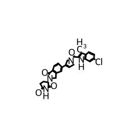 Cc1c(C(=O)N2CC=C(c3ccc4c(c3)CN(C3CCC(=O)NC3=O)C4=O)C2)[nH]c2cc(Cl)ccc12